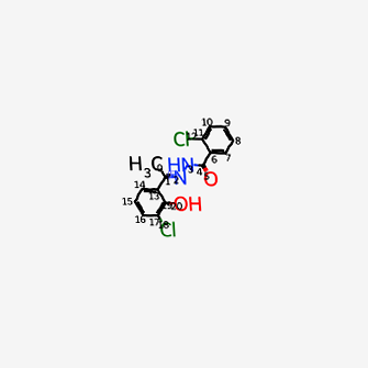 C/C(=N\NC(=O)c1ccccc1Cl)c1cccc(Cl)c1O